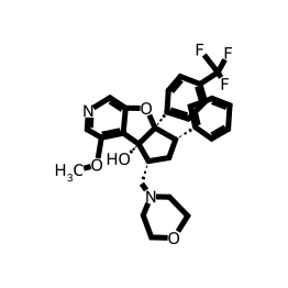 COc1cncc2c1[C@]1(O)[C@@H](CN3CCOCC3)C[C@@H](c3ccccc3)[C@]1(c1ccc(C(F)(F)F)cc1)O2